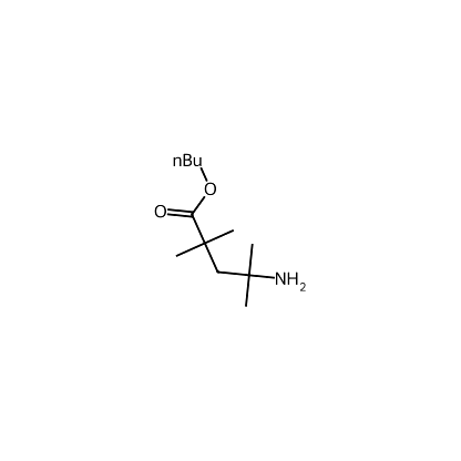 CCCCOC(=O)C(C)(C)CC(C)(C)N